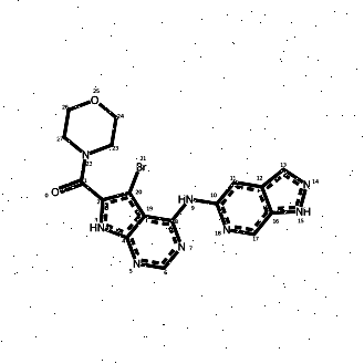 O=C(c1[nH]c2ncnc(Nc3cc4cn[nH]c4cn3)c2c1Br)N1CCOCC1